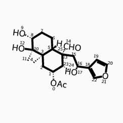 CC(=O)O[C@@H]1C[C@]2(C)[C@H](CC[C@@H](O)[C@]2(C)O)[C@@](C=O)(C[C@@H](O)c2ccoc2)[C@@H]1C